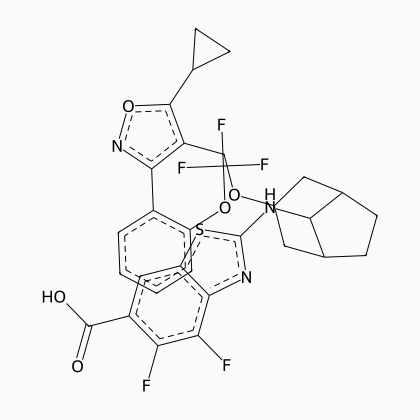 O=C(O)c1cc2sc(NC3C4CCC3CC(OCc3c(-c5ccccc5OC(F)(F)F)noc3C3CC3)C4)nc2c(F)c1F